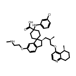 CNCCOc1ccc2c(c1)C1(CCC(Nc3cccc(Cl)c3)(C(=O)O)CC1)[C@@H](C[C@@H](C)COc1ccnc3c1[C@@H](C)CCC3)C2